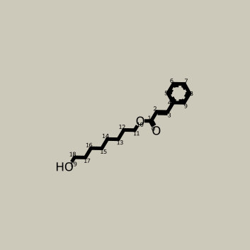 O=C(C=Cc1ccccc1)OCCCCCCCCO